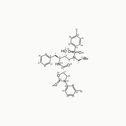 CC[C@H](C)CN(C[C@@H](O)[C@H](Cc1ccccc1)NC(=O)[C@@H]1CN(c2cccc(C)c2)C(=O)O1)S(=O)(=O)c1ccc(C)cc1